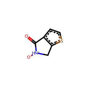 O=C1c2ccsc2C[NH+]1[O-]